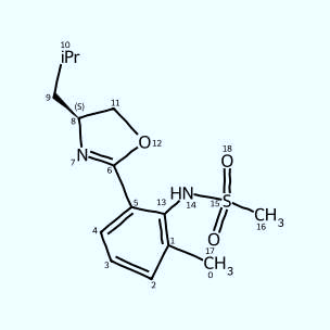 Cc1cccc(C2=N[C@@H](CC(C)C)CO2)c1NS(C)(=O)=O